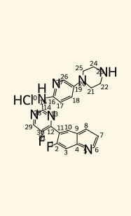 Cl.Fc1cc2ncccc2cc1-c1nc(Nc2ccc(N3CCNCC3)cn2)ncc1F